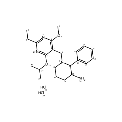 CCc1nc(OC)c(CN2CCCC(N)C2c2ccccc2)c(OC(C)C)n1.Cl.Cl